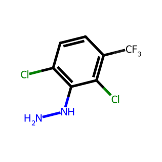 NNc1c(Cl)ccc(C(F)(F)F)c1Cl